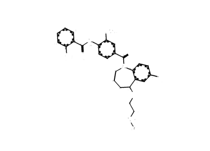 COc1cc(C(=O)N2CCCC(OCCNC(C)C)c3cc(Cl)ccc32)ccc1NC(=O)c1ccccc1C